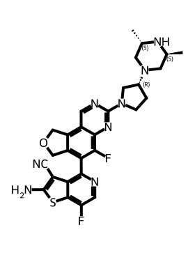 C[C@H]1CN([C@@H]2CCN(c3ncc4c5c(c(-c6ncc(F)c7sc(N)c(C#N)c67)c(F)c4n3)COC5)C2)C[C@H](C)N1